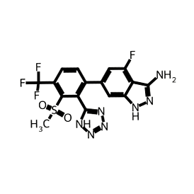 CS(=O)(=O)c1c(C(F)(F)F)ccc(-c2cc(F)c3c(N)n[nH]c3c2)c1-c1nnn[nH]1